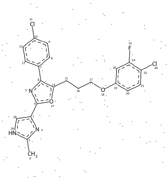 Cc1nc(-c2nc(-c3ccc(Cl)cc3)c(CCCOc3ccc(Cl)c(F)c3)o2)c[nH]1